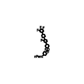 CCCCCC1CCC(C(F)(F)OC2CCC(c3ccc(C4CCC(c5cc(F)c(F)c(F)c5)CC4)c(F)c3)CC2)CC1